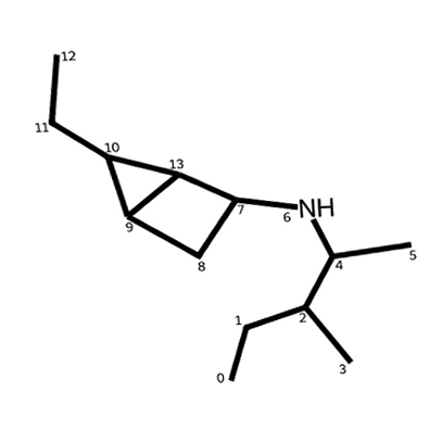 CCC(C)C(C)NC1CC2C(CC)C12